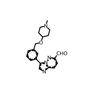 CN1CCC(OCc2cccc(-c3cnc4ccc(C=O)nn34)c2)CC1